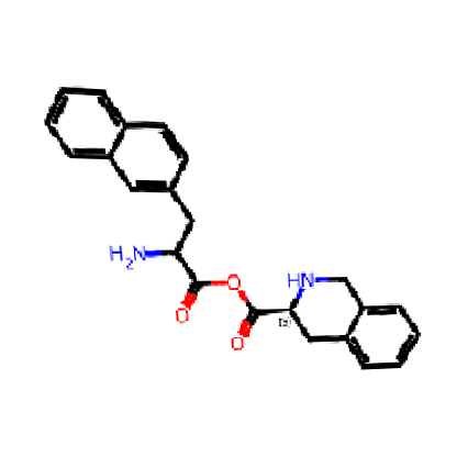 NC(Cc1ccc2ccccc2c1)C(=O)OC(=O)[C@@H]1Cc2ccccc2CN1